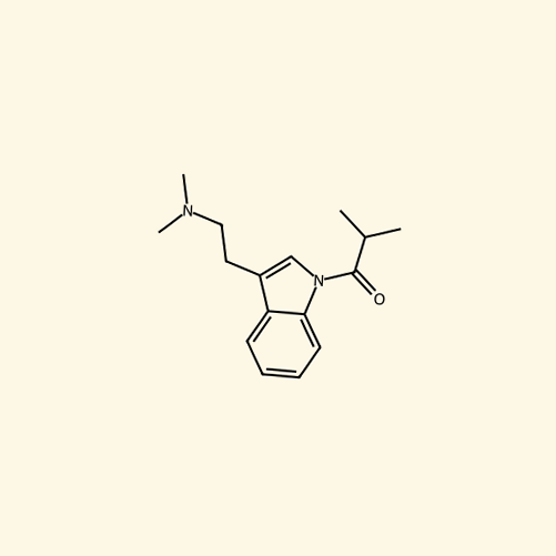 CC(C)C(=O)n1cc(CCN(C)C)c2ccccc21